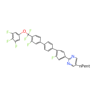 CCCCCc1cnc(-c2ccc(-c3ccc(-c4ccc(C(F)(F)Oc5cc(F)c(F)c(F)c5)c(F)c4)cc3)c(F)c2)nc1